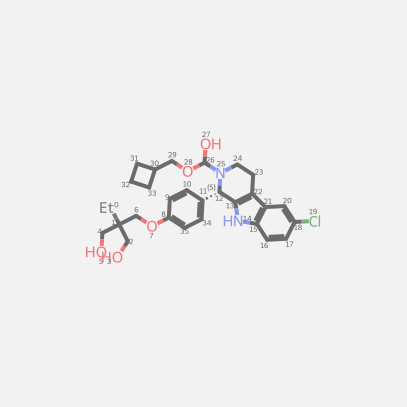 CCC(CO)(CO)COc1ccc([C@H]2c3[nH]c4ccc(Cl)cc4c3CCN2C(O)OCC2CCC2)cc1